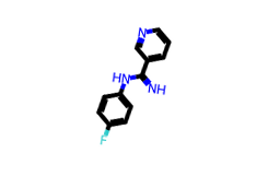 N=C(Nc1ccc(F)cc1)c1cccnc1